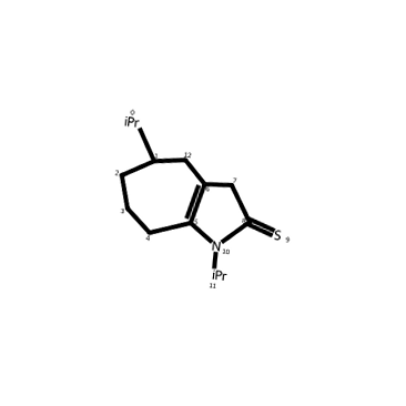 CC(C)C1CCCC2=C(CC(=S)N2C(C)C)C1